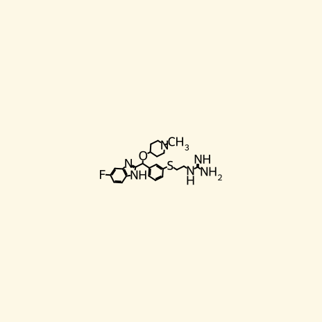 CN1CCC(OC(c2cccc(SCCNC(=N)N)c2)c2nc3cc(F)ccc3[nH]2)CC1